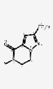 CCOC(=O)c1cc2n(n1)CCN(C)C2=O